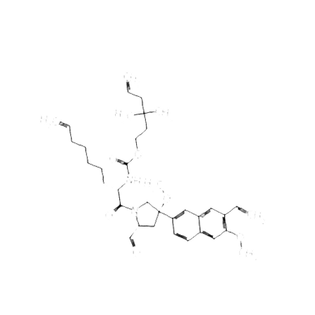 C=CCCCCC[C@H](NC(=O)OCCC(C)(C)CC=C)C(=O)N1C[C@](OC)(c2ccc3cc(OC)c(C=C)cc3c2)C[C@H]1C=O